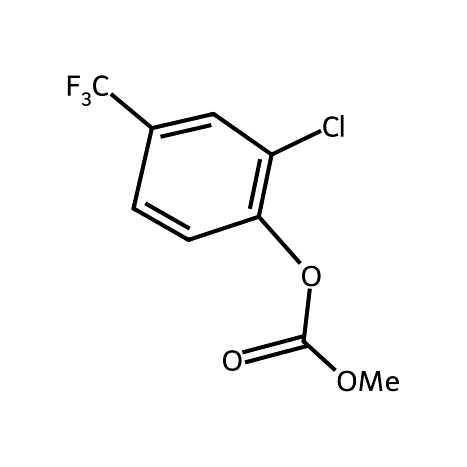 COC(=O)Oc1ccc(C(F)(F)F)cc1Cl